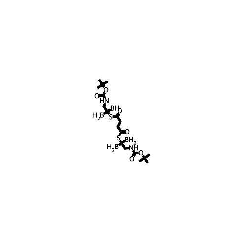 BC(B)(CNC(=O)OC(C)(C)C)SC(=O)CCC(=O)SC(B)(B)CNC(=O)OC(C)(C)C